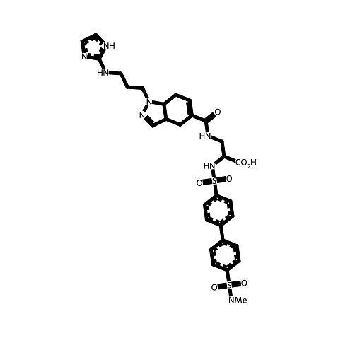 CNS(=O)(=O)c1ccc(-c2ccc(S(=O)(=O)NC(CNC(=O)C3=CCC4C(C=NN4CCCNc4ncc[nH]4)C3)C(=O)O)cc2)cc1